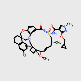 CO[C@H]1/C=C/C[C@H](C)C[S@@](=O)(NC(=O)c2cn(C)nc2OCC2CC2)=NC(=O)c2ccc3c(c2)N(C[C@@H]2CC[C@H]21)C[C@@]1(CCCc2cc(Cl)ccc21)CO3